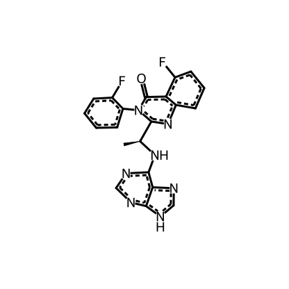 C[C@H](Nc1ncnc2[nH]cnc12)c1nc2cccc(F)c2c(=O)n1-c1ccccc1F